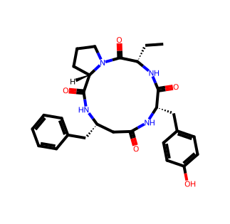 CC[C@@H]1NC(=O)[C@H](Cc2ccc(O)cc2)NC(=O)C[C@H](Cc2ccccc2)NC(=O)[C@@H]2CCCN2C1=O